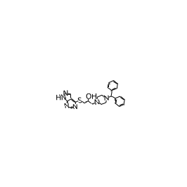 OC(CSc1ncnc2[nH]ncc12)CN1CCN(C(c2ccccc2)c2ccccc2)CC1